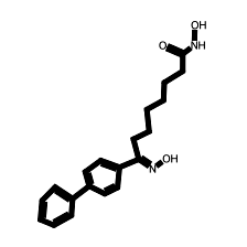 O=C(CCCCCC/C(=N\O)c1ccc(-c2ccccc2)cc1)NO